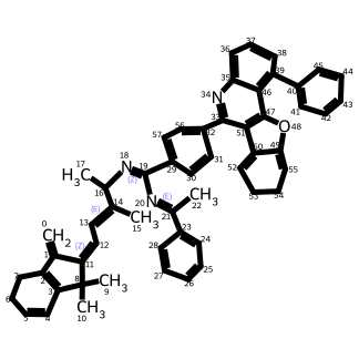 C=C1C2=C(C=CCC2)C(C)(C)/C1=C/C=C(\C)C(C)/N=C(\N=C(/C)c1ccccc1)c1ccc(-c2nc3cccc(-c4ccccc4)c3c3oc4c(c23)=CCCC=4)cc1